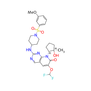 COc1cccc(S(=O)(=O)N2CCC(Nc3ncc4cc(OC(F)F)c(=O)n([C@@H]5CCC[C@@]5(C)O)c4n3)CC2)c1